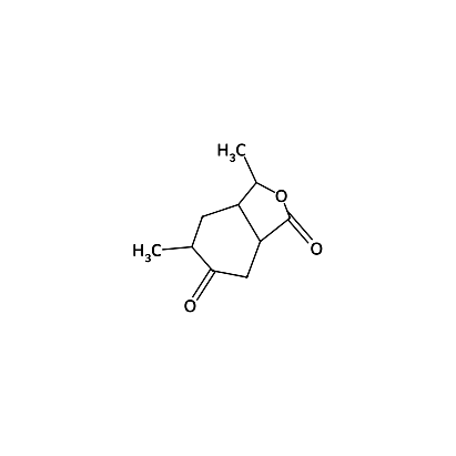 CC1CC2C(C)OC(=O)C2CC1=O